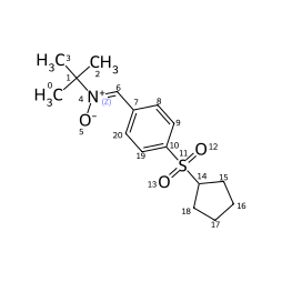 CC(C)(C)/[N+]([O-])=C/c1ccc(S(=O)(=O)C2CCCC2)cc1